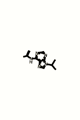 C=C(C)Nc1ncnc2c1ncn2C(C)C